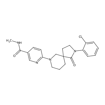 CNC(=O)c1ccc(N2CCCC3(CCN(c4ccccc4Cl)C3=O)C2)nc1